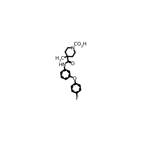 CC1(C(=O)Nc2cccc(Oc3ccc(F)cc3)c2)CCN(C(=O)O)CC1